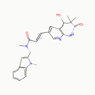 CN(Cc1cc2ccccc2n1C)C(=O)/C=C/c1cnc2c(c1)C(O)C(C)(C)C(=O)N2